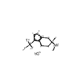 CN[C@]1(C)CCc2c(C(F)(F)F)csc2C1.Cl